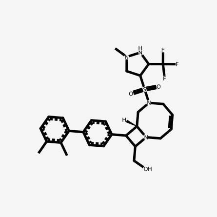 Cc1cccc(-c2ccc(C3C(CO)N4C/C=C\CN(S(=O)(=O)C5CN(C)NC5C(F)(F)F)C[C@@H]34)cc2)c1C